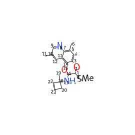 CSC(Oc1cc(C)c2ncc(C)cc2c1)C(=O)NC1(C)CCC1